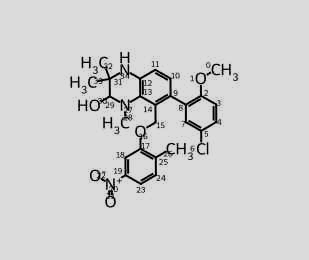 COc1ccc(Cl)cc1-c1ccc2c(c1COc1cc([N+](=O)[O-])ccc1C)N(C)C(O)C(C)(C)N2